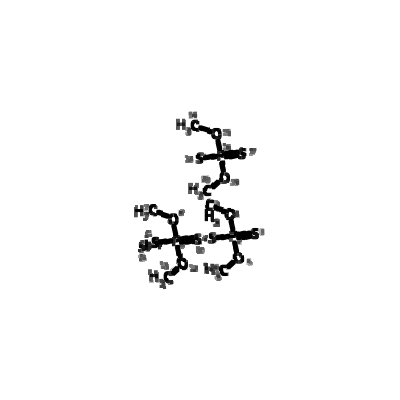 COP(=S)([S-])OC.COP(=S)([S-])OC.COP(=S)([S-])OC.[Sb+3]